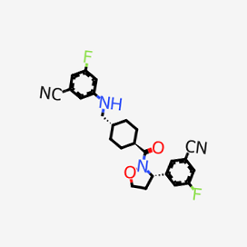 N#Cc1cc(F)cc(NC[C@H]2CC[C@H](C(=O)N3OCC[C@H]3c3cc(F)cc(C#N)c3)CC2)c1